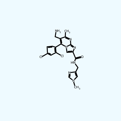 Cc1nc2nc(C(=O)NCc3cn(C)cn3)cn2c(-c2ccc(Cl)cc2Cl)c1CN